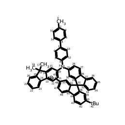 Cc1ccc(-c2ccc(N(c3ccc4c(c3)C(C)(C)c3ccccc3-4)c3ccc4c(c3)C3(c5ccccc5-4)c4cc(C(C)(C)C)ccc4-c4ccc(C(C)(C)C)cc43)cc2)cc1